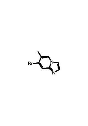 Cc1cn2ccnc2cc1Br